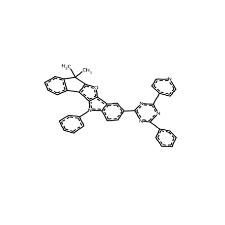 CC1(C)c2ccccc2-c2c1oc1c3cc(-c4nc(-c5ccccc5)nc(-c5ccncc5)n4)ccc3n(-c3ccccc3)c21